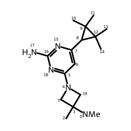 CNC1(C)CN(c2cc(C3C(C)(C)C3(C)C)nc(N)n2)C1